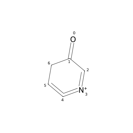 O=C1C=[N+]=C=CC1